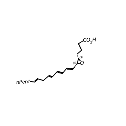 CCCCCC=CCC=CC=CC=C[C@@H]1O[C@H]1CCCC(=O)O